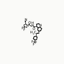 CC(=Cc1ccc2nccc(C(=O)NCC(=O)N3CC(F)(F)CC3C#N)c2c1)c1ccc(C(F)(F)F)cc1